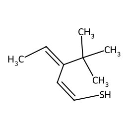 C/C=C(\C=C/S)C(C)(C)C